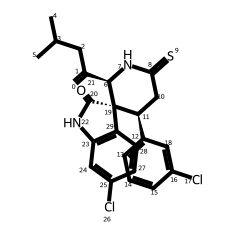 C=C(CC(C)C)[C@H]1NC(=S)C[C@@H](c2cccc(Cl)c2)[C@]12C(=O)Nc1cc(Cl)ccc12